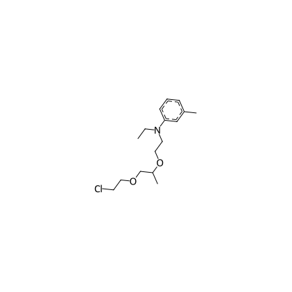 CCN(CCOC(C)COCCCl)c1cccc(C)c1